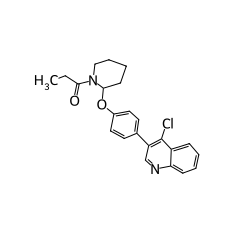 CCC(=O)N1CCCCC1Oc1ccc(-c2cnc3ccccc3c2Cl)cc1